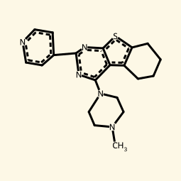 CN1CCN(c2nc(-c3ccncc3)nc3sc4c(c23)CCCC4)CC1